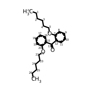 CCCCCCOc1ccccc1C(=O)c1ccccc1OCCCCCC